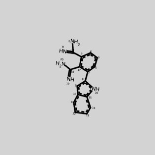 N=C(N)c1cccc(-c2cc3ccccc3[nH]2)c1C(=N)N